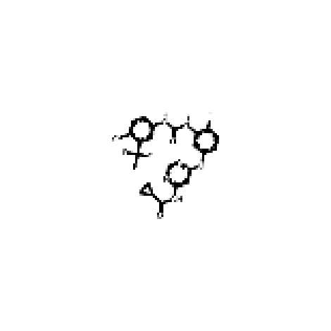 O=C(Nc1ccc(Cl)c(C(F)(F)F)c1)Nc1cc(Oc2cc(NC(=O)C3CC3)ncn2)ccc1F